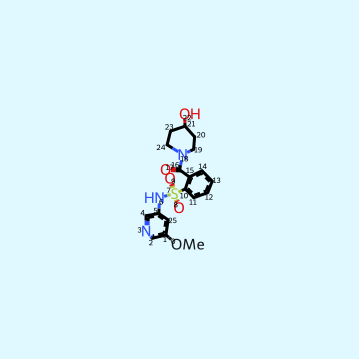 COc1cncc(NS(=O)(=O)c2ccccc2C(=O)N2CCC(O)CC2)c1